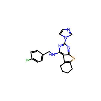 Fc1ccc(CNc2nc(-n3ccnc3)nc3sc4c(c23)CCCC4)cc1